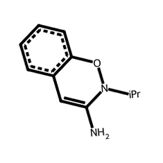 CC(C)N1Oc2ccccc2C=C1N